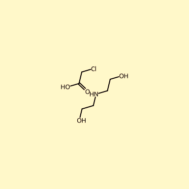 O=C(O)CCl.OCCNCCO